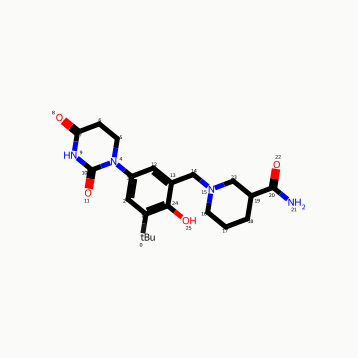 CC(C)(C)c1cc(N2CCC(=O)NC2=O)cc(CN2CCCC(C(N)=O)C2)c1O